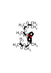 C=C(C)C(=O)OC(C)COC(C)COC1=CC2=CC=C1C2C1(C)C2=CC=C1C(OCC(C)OCC(C)OC(=O)C(=C)C)=C2